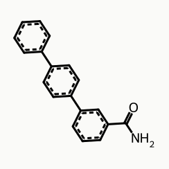 NC(=O)c1cccc(-c2ccc(-c3ccccc3)cc2)c1